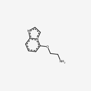 NCCOc1cccc2nccn12